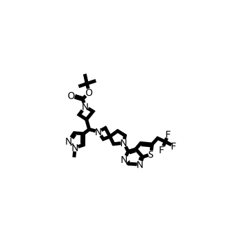 Cn1cc(C(C2CN(C(=O)OC(C)(C)C)C2)N2CC3(CCN(c4ncnc5sc(CC(F)(F)F)cc45)C3)C2)cn1